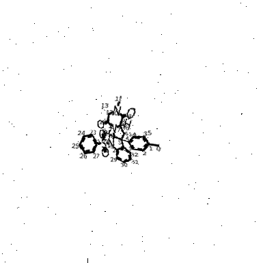 Cc1ccc([C@]23C[C@H]4C(=O)N(C)[C@@H](C)C(=O)N4[C@H]2N(S(=O)(=O)c2ccccc2)c2ccccc23)cc1